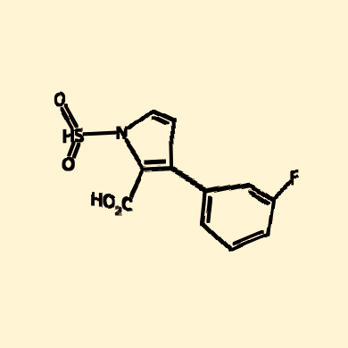 O=C(O)c1c(-c2cccc(F)c2)ccn1[SH](=O)=O